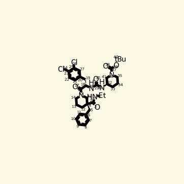 CCNC(=O)[C@]1(Cc2ccccc2)CCCN(C(=O)[C@H](Cc2ccc(Cl)c(Cl)c2)NC(=O)N[C@@H]2CCCN(C(=O)OC(C)(C)C)C2)C1